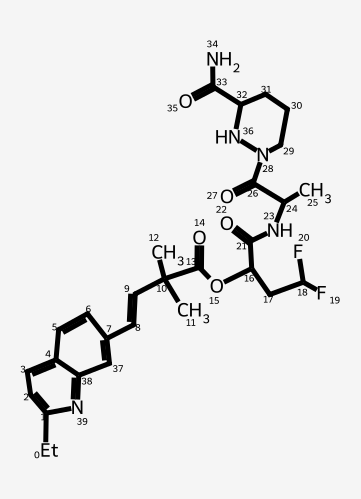 CCc1ccc2ccc(/C=C/C(C)(C)C(=O)OC(CC(F)F)C(=O)NC(C)C(=O)N3CCCC(C(N)=O)N3)cc2n1